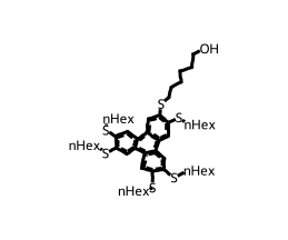 CCCCCCSc1cc2c3cc(SCCCCCC)c(SCCCCCC)cc3c3cc(SCCCCCCO)c(SCCCCCC)cc3c2cc1SCCCCCC